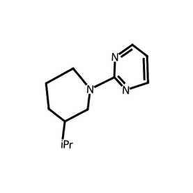 CC(C)C1CCCN(c2ncccn2)C1